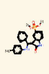 CCOP(=O)(OCC)c1ccc2c(c1)/C(=C(/Nc1ccc(C#N)cc1)c1ccccc1)C(=O)N2